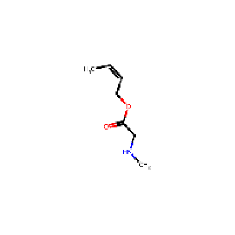 C/C=C\COC(=O)CNC